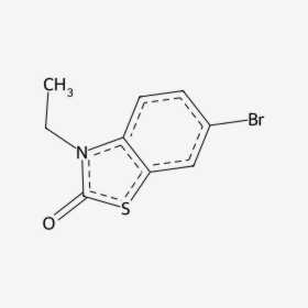 CCn1c(=O)sc2cc(Br)ccc21